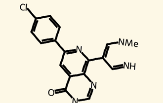 CN/C=C(\C=N)c1nc(-c2ccc(Cl)cc2)cc2c(=O)[nH]cnc12